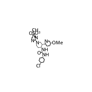 COc1ccc([C@@H]2CN(c3ncn(S(C)(=O)=O)n3)CC[C@H]2NC(=O)Nc2ccc(Cl)cc2)nc1